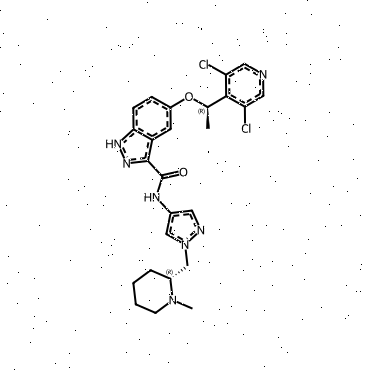 C[C@@H](Oc1ccc2[nH]nc(C(=O)Nc3cnn(C[C@H]4CCCCN4C)c3)c2c1)c1c(Cl)cncc1Cl